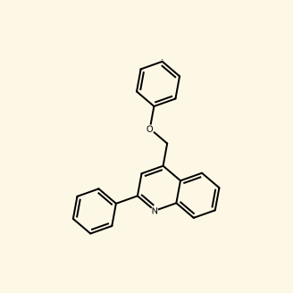 [c]1ccc(OCc2cc(-c3ccccc3)nc3ccccc23)cc1